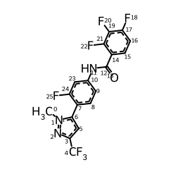 Cn1nc(C(F)(F)F)cc1-c1ccc(NC(=O)c2ccc(F)c(F)c2F)cc1F